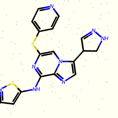 Cc1cc(Nc2nc(Sc3ccncc3)cn3c(C4C=NNC4)cnc23)sn1